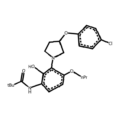 CCCOc1ccc(NC(=O)C(C)(C)C)c(O)c1N1CCC(Oc2ccc(Cl)cc2)C1